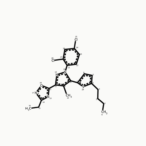 CCCCc1ccc(-c2c(C)c(-c3nc(CC)no3)nn2-c2ccc(Cl)cc2Cl)s1